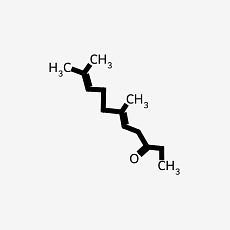 CCC(=O)C/C=C(\C)CCC=C(C)C